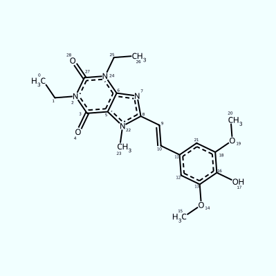 CCn1c(=O)c2c(nc(/C=C/c3cc(OC)c(O)c(OC)c3)n2C)n(CC)c1=O